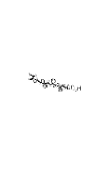 C=C(C)C(=C)OCCOC(=O)/C=C/C(=O)COC(=O)/C=C/C(=O)O